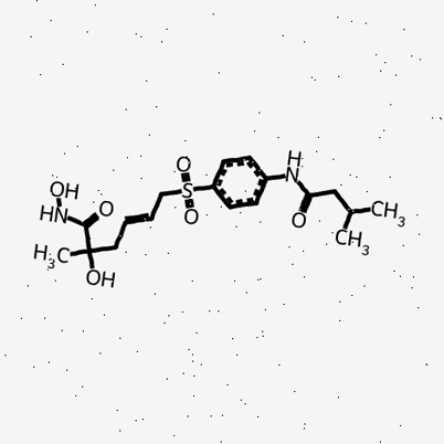 CC(C)CC(=O)Nc1ccc(S(=O)(=O)CC=CCC(C)(O)C(=O)NO)cc1